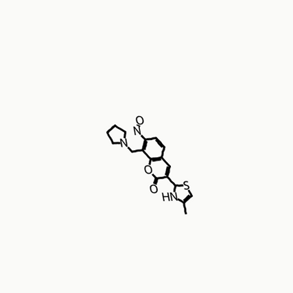 CC1=CSC(c2cc3ccc(N=O)c(CN4CCCC4)c3oc2=O)N1